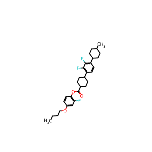 CCCCOc1ccc(OC(=O)C2CCC(c3ccc(C4CCC(C)CC4)c(F)c3F)CC2)c(F)c1